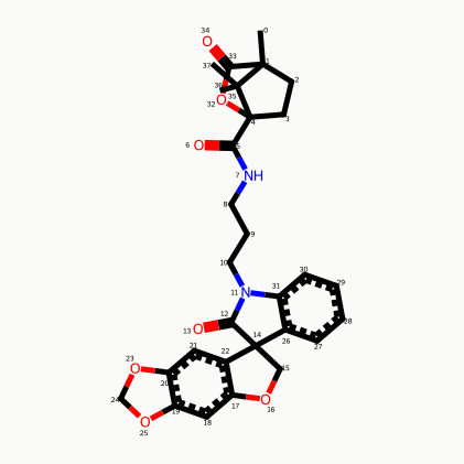 CC12CCC(C(=O)NCCCN3C(=O)C4(COc5cc6c(cc54)OCO6)c4ccccc43)(OC1=O)C2(C)C